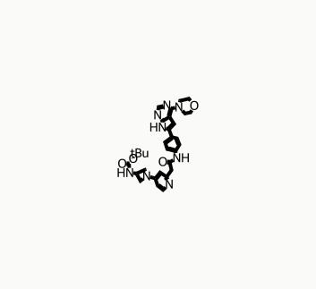 CC(C)(C)OC(=O)NC1CN(c2ccnc(CC(=O)Nc3ccc(-c4cc5c(N6CCOCC6)ncnc5[nH]4)cc3)c2)C1